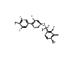 Fc1cc(OC(F)(F)c2ccc(Br)c(F)c2F)ccc1-c1cc(F)c(F)c(F)c1